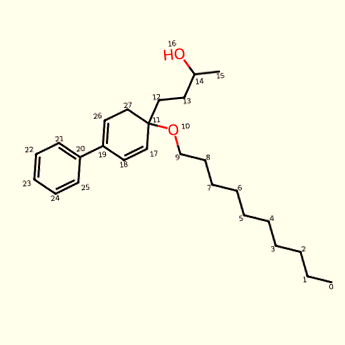 CCCCCCCCCCOC1(CCC(C)O)C=CC(c2ccccc2)=CC1